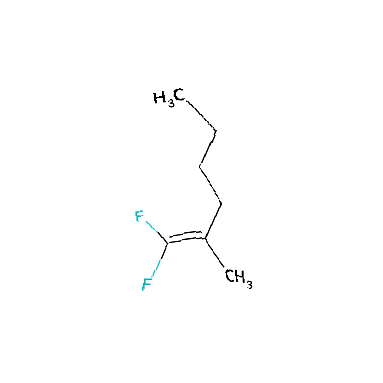 CCCCC(C)=C(F)F